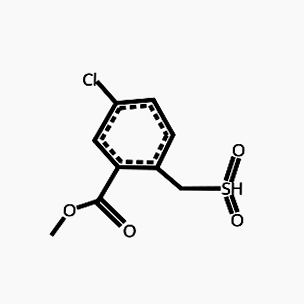 COC(=O)c1cc(Cl)ccc1C[SH](=O)=O